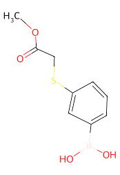 COC(=O)CSc1cccc(B(O)O)c1